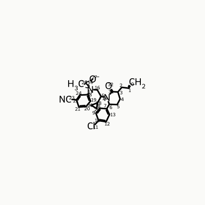 C=CCC1CCC(c2ccc(Cl)cc2)N(C(CN(c2cccc(C#N)c2)[S+](C)[O-])C2CC2)C1=O